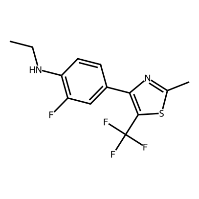 CCNc1ccc(-c2nc(C)sc2C(F)(F)F)cc1F